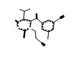 Cc1cc(C#N)cc(C(=O)c2c(C(C)C)c(=O)[nH]c(=O)n2CCC#N)c1